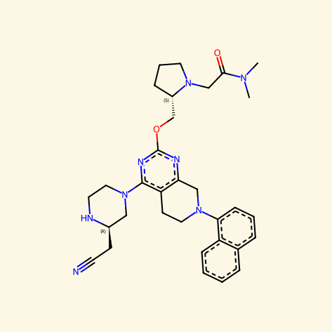 CN(C)C(=O)CN1CCC[C@H]1COc1nc2c(c(N3CCN[C@H](CC#N)C3)n1)CCN(c1cccc3ccccc13)C2